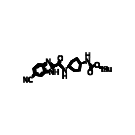 CC(C)(C)OC(=O)N[C@H]1CC[C@H](NC(=O)c2nc3ccc(C#N)cc3[nH]2)CC1